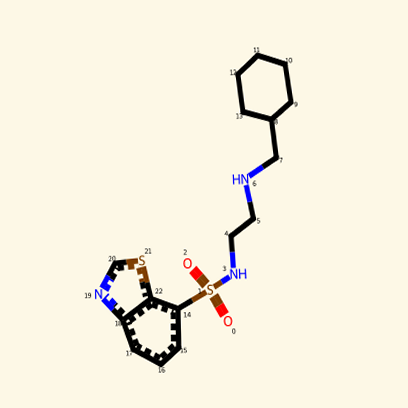 O=S(=O)(NCCNCC1CCCCC1)c1cccc2ncsc12